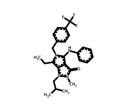 CCc1c2c(c(Nc3ccccc3)n1Cc1ccc(C(F)(F)F)cc1)c(=O)n(C)n2CC(C)C